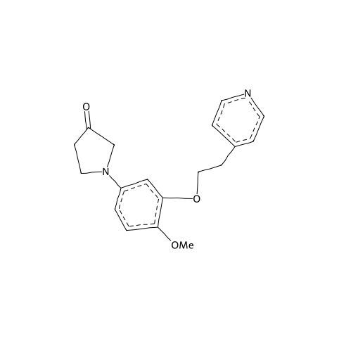 COc1ccc(N2CCC(=O)C2)cc1OCCc1ccncc1